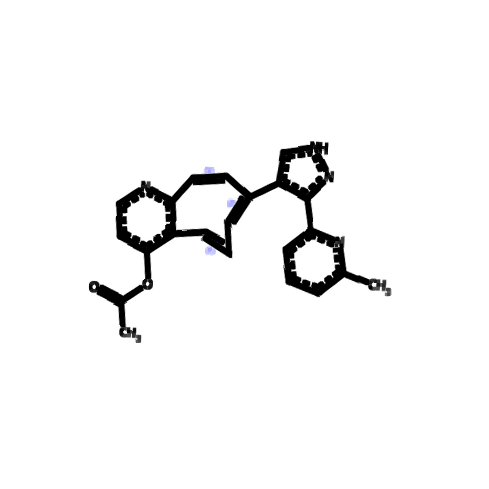 CC(=O)Oc1ccnc2c1/C=C/C=C(c1c[nH]nc1-c1cccc(C)n1)/C=C\2